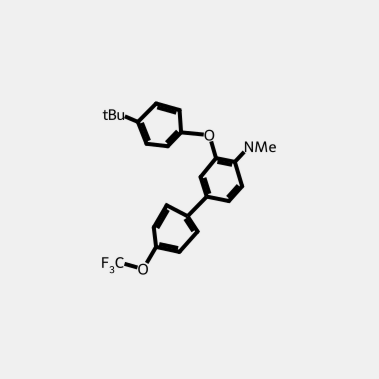 CNc1ccc(-c2ccc(OC(F)(F)F)cc2)cc1Oc1ccc(C(C)(C)C)cc1